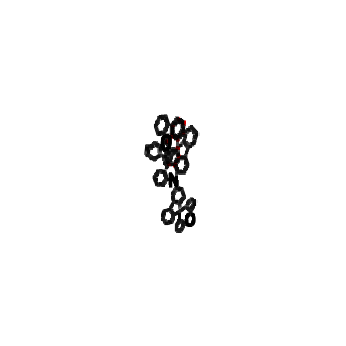 c1ccc(C2(c3ccccc3)c3ccccc3-c3c(-c4ccccc4N(c4ccc5c(c4)-c4ccccc4C54c5ccccc5Oc5ccccc54)c4ccc5c(c4)C4(c6ccccc6Oc6ccccc64)c4ccccc4-5)cccc32)cc1